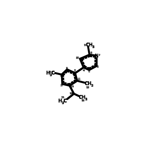 Cc1cc(-c2ccnc(C)c2)c(C)c(C(C)C)c1